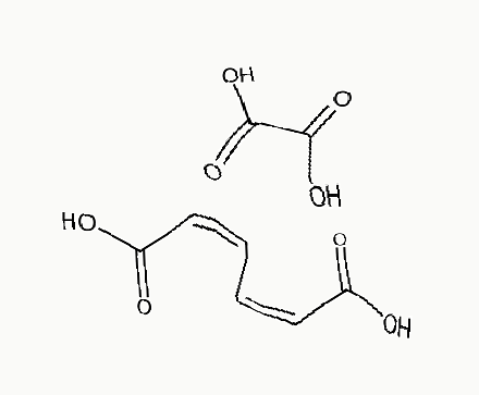 O=C(O)/C=C\C=C/C(=O)O.O=C(O)C(=O)O